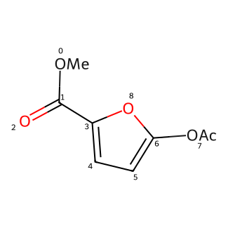 COC(=O)c1ccc(OC(C)=O)o1